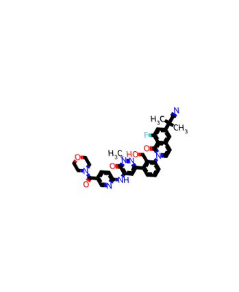 Cn1nc(-c2cccc(-n3ccc4cc(C(C)(C)C#N)cc(F)c4c3=O)c2CO)cc(Nc2ccc(C(=O)N3CCOCC3)cn2)c1=O